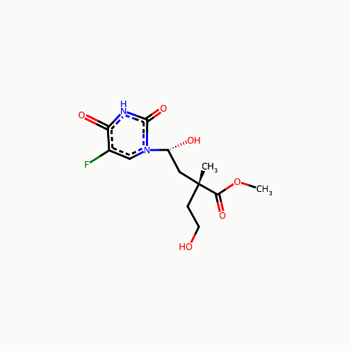 COC(=O)[C@](C)(CCO)C[C@@H](O)n1cc(F)c(=O)[nH]c1=O